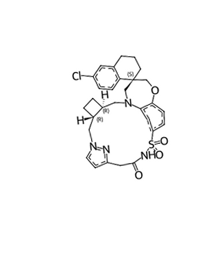 O=C1Cc2ccn(n2)C[C@@H]2CC[C@H]2CN2C[C@@]3(CCCc4cc(Cl)ccc43)COc3ccc(cc32)S(=O)(=O)N1